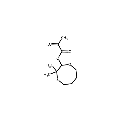 C=C(C)C(=O)OC1OCCCCSC1(C)C